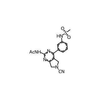 CC(=O)Nc1nc2c(c(-c3cccc(NS(C)(=O)=O)c3)n1)CN(C#N)C2